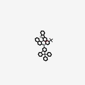 CC(C)(C)c1ccc(N(c2ccc3c(c2)-c2ccccc2C3(c2ccccc2)c2ccccc2)c2ccc3ccccc3c2-c2cccc3c2oc2ccccc23)cc1